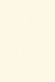 CC(O)Cc1cc(F)c(-c2cc(C(N)=O)c(Nc3cccc(CNCC(=O)NC4CCCC4)n3)s2)c(F)c1